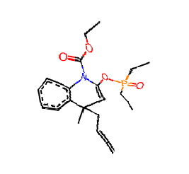 C=CCC1(C)C=C(OP(=O)(CC)CC)N(C(=O)OCC)c2ccccc21